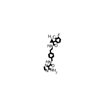 Cc1c(F)cccc1C1(C(=O)NCCc2ccc(CNC(=O)c3nccnc3N)cc2)CC1